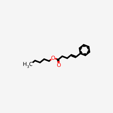 CCCCCOC(=O)CC/C=C/c1ccccc1